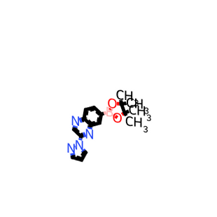 CC1(C)OB(c2ccc3ncc(-n4cccn4)nc3c2)OC1(C)C